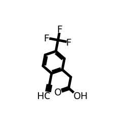 C#Cc1ccc(C(F)(F)F)cc1CC(=O)O